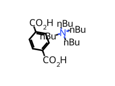 CCCC[N+](CCCC)(CCCC)CCCC.O=C(O)c1ccc(C(=O)O)cc1